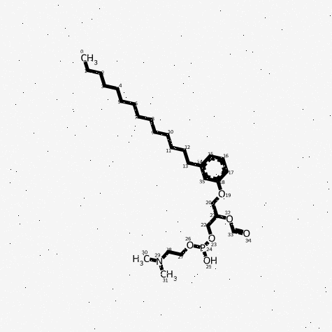 CCCCCCCCCCCCCCc1cccc(OCC(COP(O)OCCN(C)C)OC=O)c1